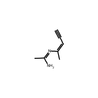 C#C/C=C(C)\N=C(\C)N